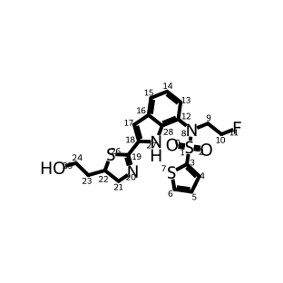 O=S(=O)(c1cccs1)N(CCF)c1cccc2cc(C3=NCC(CCO)S3)[nH]c12